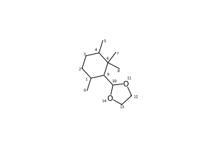 CC1CCC(C)C(C)(C)C1C1OCCO1